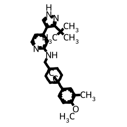 COc1ccc(C23CCC(CNc4cc(-c5c[nH]nc5C(C)(C)C)ccn4)(CC2)CC3)cc1C